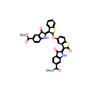 COC(=O)c1ccc2c(c1)N/C(=C1\C(=O)Sc3ccc(OC4Sc5ccccc5/C4=C4/Nc5ccc(C(=O)OC)cc5C4=O)cc31)C2=O